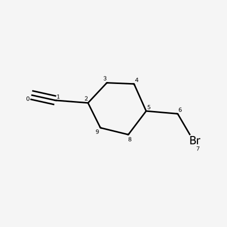 C#CC1CCC(CBr)CC1